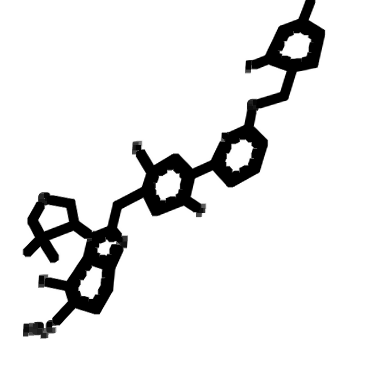 CC1(C)COCC1n1c(Cc2cc(F)c(-c3cccc(OCc4ccc(C#N)cc4F)n3)cc2F)nc2ccc(C(=O)O)c(F)c21